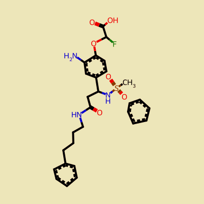 CS(=O)(=O)NC(CC(=O)NCCCCc1ccccc1)c1ccc(OC(F)C(=O)O)c(N)c1.c1ccccc1